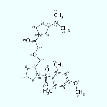 COc1cc(C)c(S(=O)(=O)N2CCCC2COCC(=O)N2CCC(N(C)C)C2)c(C)c1